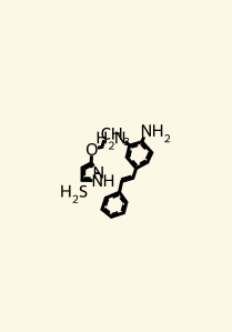 CCOc1cc[nH]n1.Nc1ccc(C=Cc2ccccc2)cc1N.S